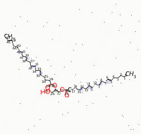 CCCCC/C=C/C/C=C/C/C=C/C/C=C/CCCC(=O)OCC(CO)OC(=O)CCC/C=C/C/C=C/C/C=C/C/C=C/CCCCC